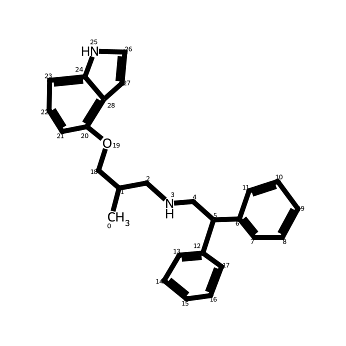 CC(CNCC(c1ccccc1)c1ccccc1)COc1cccc2[nH]ccc12